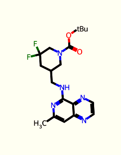 Cc1cc2nccnc2c(NCC2CN(C(=O)OC(C)(C)C)CC(F)(F)C2)n1